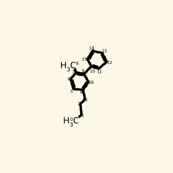 CCCCc1ccc(C)c(-c2ccccc2)c1